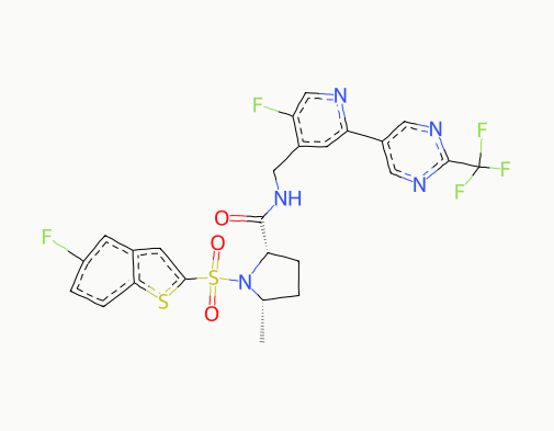 C[C@H]1CC[C@@H](C(=O)NCc2cc(-c3cnc(C(F)(F)F)nc3)ncc2F)N1S(=O)(=O)c1cc2cc(F)ccc2s1